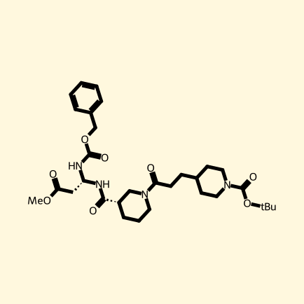 COC(=O)C[C@H](NC(=O)OCc1ccccc1)NC(=O)[C@H]1CCCN(C(=O)CCC2CCN(C(=O)OC(C)(C)C)CC2)C1